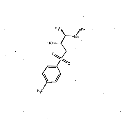 CCCN[C@H](C)[C@@H](O)CS(=O)(=O)c1ccc(C)cc1